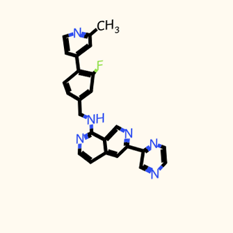 Cc1cc(-c2ccc(CNc3nccc4cc(-c5cnccn5)ncc34)cc2F)ccn1